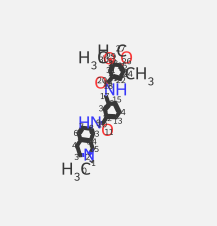 CCN1CCc2ccc(NC(=O)c3cccc(CNC(=O)c4cc(C)c(OC)c(OC)c4)c3)cc2C1